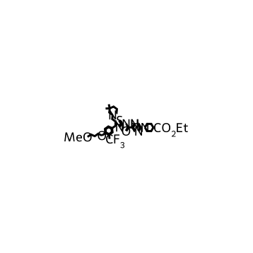 CCOC(=O)C1CCN(c2cnc(C(=O)Nc3nc(-c4ccc(OCCCOC)c(C(F)(F)F)c4)c(CN4CCCC(C)(C)C4)s3)cn2)CC1